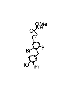 CONC(=O)COc1cc(Br)c(Cc2ccc(O)c(C(C)C)c2)c(Br)c1